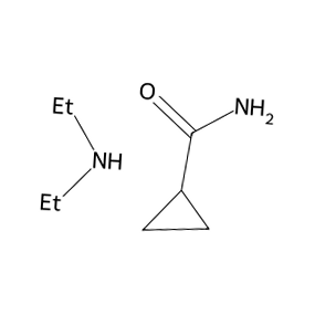 CCNCC.NC(=O)C1CC1